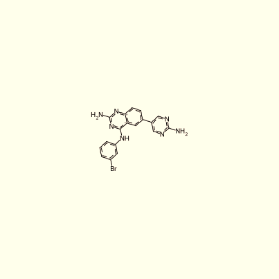 Nc1ncc(-c2ccc3nc(N)nc(Nc4cccc(Br)c4)c3c2)cn1